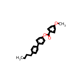 CCCCc1ccc(-c2ccc(OC(=O)c3ccc(OC)cc3)cc2)cc1